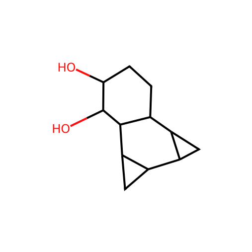 OC1CCC2C3CC3C3CC3C2C1O